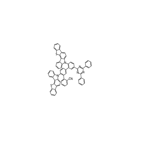 N#Cc1ccccc1-c1cc(-c2cc(-c3nc(-c4ccccc4)nc(-c4ccccc4)n3)ccc2-n2c3ccccc3c3c4sc5ccccc5c4ccc32)ccc1-n1c2ccccc2c2c3sc4ccccc4c3ccc21